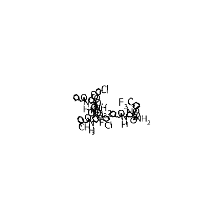 Cc1ccccc1CC(=O)Nc1cc(F)c(Oc2cccc(Cl)c2)c(S(N)(=O)=O)c1.NS(=O)(=O)c1cc(NC(=O)Cc2ccccc2)cc(F)c1Oc1cccc(Cl)c1.NS(=O)(=O)c1cc(NC(=O)Cc2ccccc2)cnc1Oc1cccc(C(F)(F)F)c1